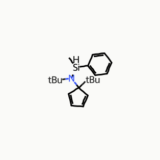 C[SiH](c1ccccc1)N(C(C)(C)C)C1(C(C)(C)C)C=CC=C1